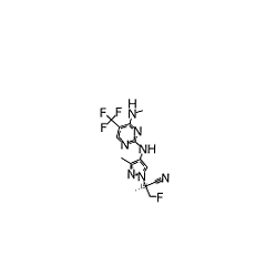 CNc1nc(Nc2cn([C@@](C)(C#N)CF)nc2C)ncc1C(F)(F)F